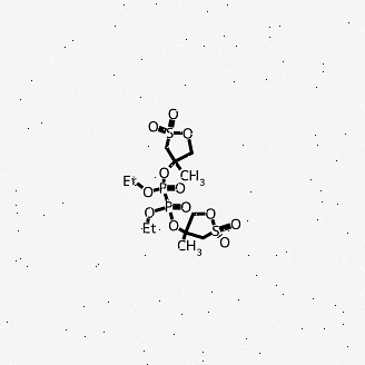 CCOP(=O)(OC1(C)COS(=O)(=O)C1)P(=O)(OCC)OC1(C)COS(=O)(=O)C1